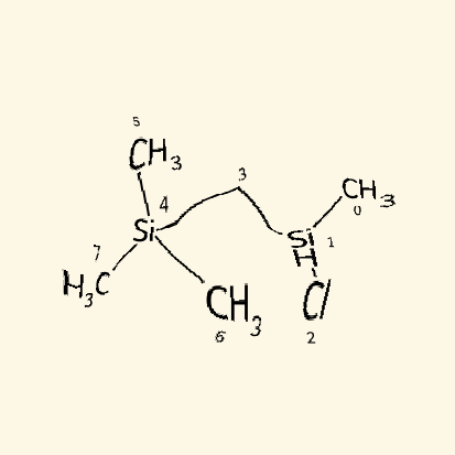 C[SiH](Cl)C[Si](C)(C)C